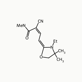 CCN1/C(=C\C=C(\C#N)C(=O)NC)OCC1(C)C